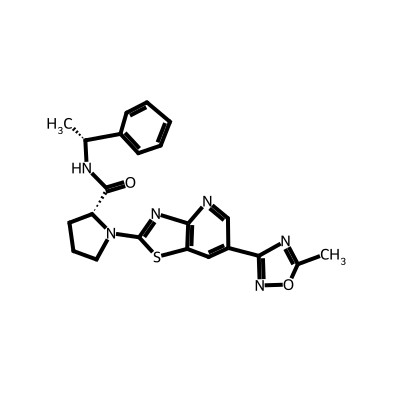 Cc1nc(-c2cnc3nc(N4CCC[C@@H]4C(=O)N[C@H](C)c4ccccc4)sc3c2)no1